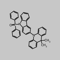 CC1(C)c2ccccc2N(c2ccc3c(c2)c2ccccc2n3P(=O)(c2ccccc2)c2ccccc2)c2ccccc21